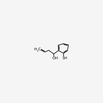 C=CCC(O)c1ccccc1S